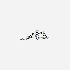 CCCCCC(CC)Cc1ccc(-c2ccc(-c3c4nsnc4c(-c4ccc(-c5ccc(CC(CC)CCCCC)cc5F)s4)c4nc5c(nc34)CCCC5)s2)c(F)c1